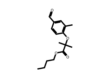 CCCCOC(=O)C(C)(C)Oc1ccc(C=O)cc1C